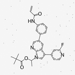 C=CC(=O)Nc1cccc(-c2cnc3c(c2)c(-c2ccnc(F)c2)cn3C(C)OC(=O)C(C)(C)C)c1